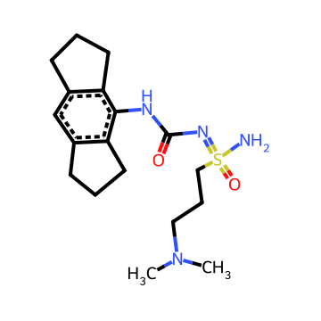 CN(C)CCCS(N)(=O)=NC(=O)Nc1c2c(cc3c1CCC3)CCC2